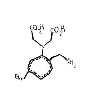 NCc1ccc(Br)cc1N(CC(=O)O)CC(=O)O